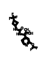 C[C@H](O)C(NC(=O)NC1CC(C(F)(F)F)C1)c1ccnc(OC(F)F)c1